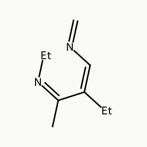 C=N/C=C(CC)\C(C)=N/CC